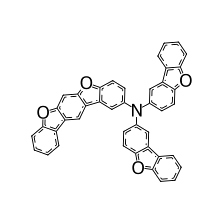 c1ccc2c(c1)oc1ccc(N(c3ccc4oc5ccccc5c4c3)c3ccc4oc5cc6oc7ccccc7c6cc5c4c3)cc12